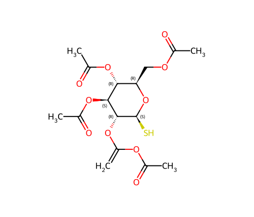 C=C(OC(C)=O)O[C@@H]1[C@@H](OC(C)=O)[C@H](OC(C)=O)[C@@H](COC(C)=O)O[C@H]1S